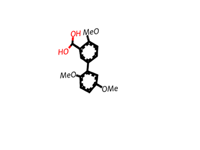 COc1ccc(OC)c(-c2ccc(OC)c(C(O)O)c2)c1